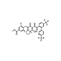 COC(=O)c1cc(F)c(CN2C(=O)C(C(=O)Nc3ccc(C(F)(F)F)cc3-c3ccc(C(F)(F)F)nc3)=C(O)C3(C)CCCN23)c(F)c1